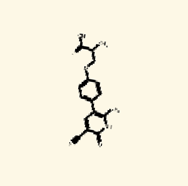 Cc1[nH]c(=O)c(C#N)cc1-c1ccc(OCC(C)C(=O)O)cc1